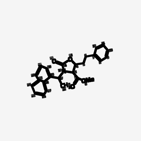 COC(=O)C1C(CCc2ccccc2)OC(=O)N1C(C)c1cccc2ccccc12